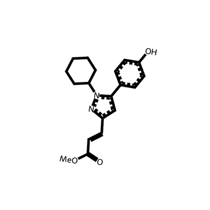 COC(=O)C=Cc1cc(-c2ccc(O)cc2)n(C2CCCCC2)n1